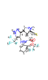 CN1C[C@H](c2cc(C(F)(F)F)n(C)n2)[C@@H](C(=O)Nc2cccc(F)c2OC(F)F)C1=S